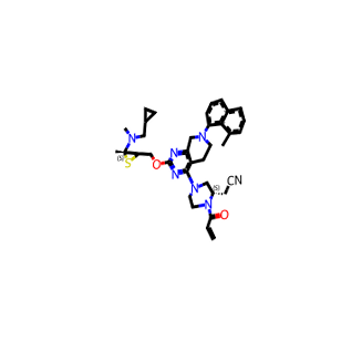 C=CC(=O)N1CCN(c2nc(OCC3S[C@]3(C)N(C)CC3CC3)nc3c2CCN(c2cccc4cccc(C)c24)C3)C[C@@H]1CC#N